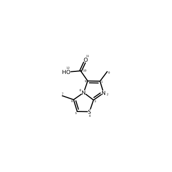 Cc1nc2scc(C)n2c1C(=O)O